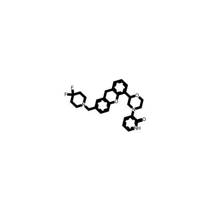 O=c1[nH]cccc1N1CCOC(c2cccc3c2Oc2ccc(CN4CCC(F)(F)CC4)cc2C3)C1